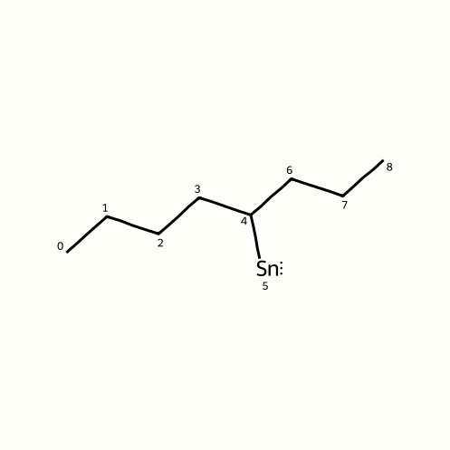 CCCC[CH]([Sn])CCC